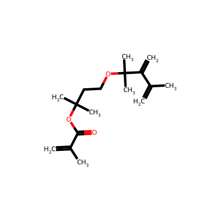 C=C(C)C(=C)C(C)(C)OCCC(C)(C)OC(=O)C(=C)C